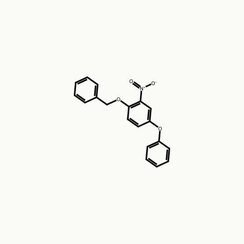 O=[N+]([O-])c1cc(Oc2ccccc2)ccc1OCc1ccccc1